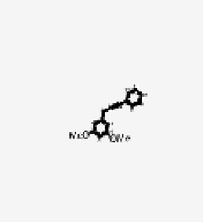 COc1cc(CC#Cc2ccccc2)cc(OC)c1